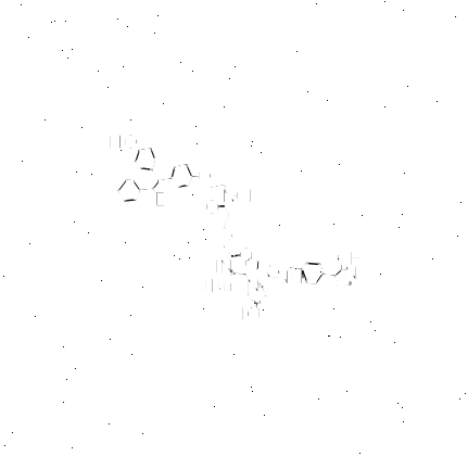 CCC(=C(c1ccc(O)cc1)c1ccc(OCCN(C)C(=O)CCCCC(=O)N[C@H](C(=O)N2C[C@H](O)C[C@H]2C(=O)NCc2ccc(-c3scnc3C)cc2)C(C)(C)C)cc1)c1ccccc1